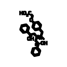 C[C@H](Cc1ccc(OCC(=O)O)cc1)N(C[C@H](O)c1ccccc1)C[C@H](O)c1ccccc1